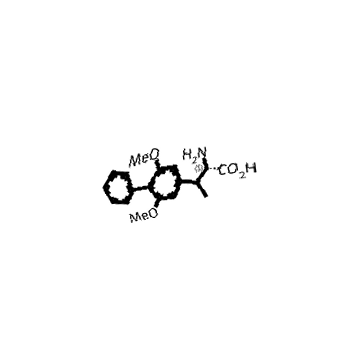 COc1cc(C(C)[C@H](N)C(=O)O)cc(OC)c1-c1ccccc1